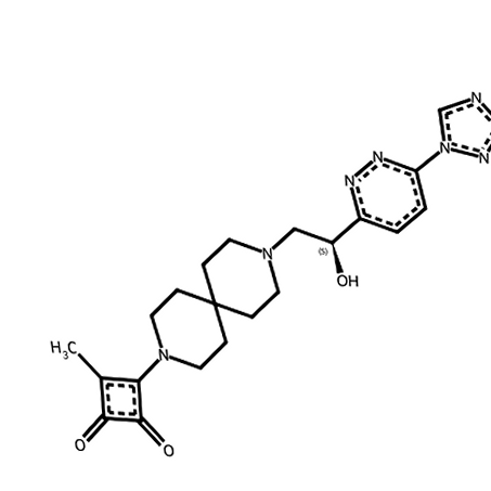 Cc1c(N2CCC3(CCN(C[C@H](O)c4ccc(-n5cnnn5)nn4)CC3)CC2)c(=O)c1=O